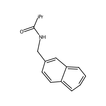 CC(C)C(=O)NCc1ccc2ccccc2c1